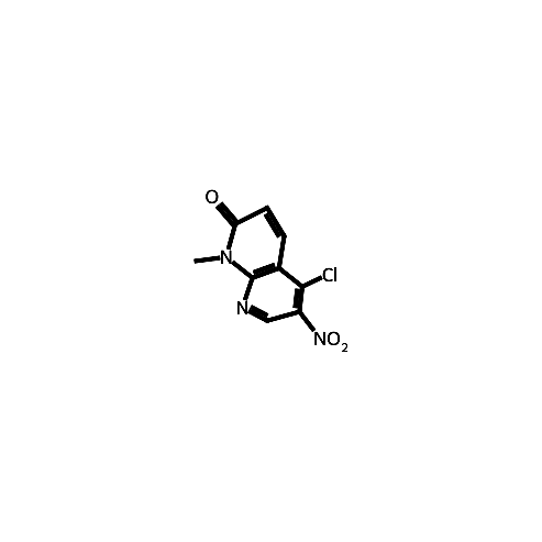 Cn1c(=O)ccc2c(Cl)c([N+](=O)[O-])cnc21